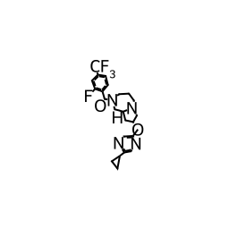 O=C(c1ccc(C(F)(F)F)cc1F)N1CCCN2C[C@@H](Oc3cnc(C4CC4)cn3)C[C@H]2C1